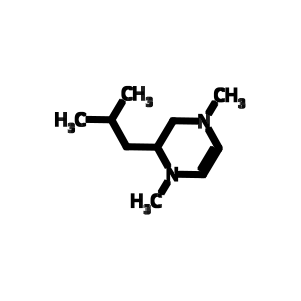 CC(C)CC1CN(C)C=CN1C